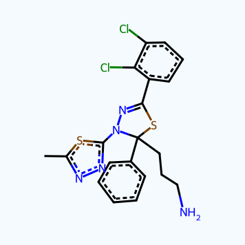 Cc1nnc(N2N=C(c3cccc(Cl)c3Cl)SC2(CCCN)c2ccccc2)s1